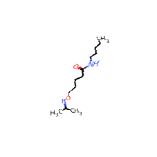 CCCCCNC(=O)CCCCON=C(C)C